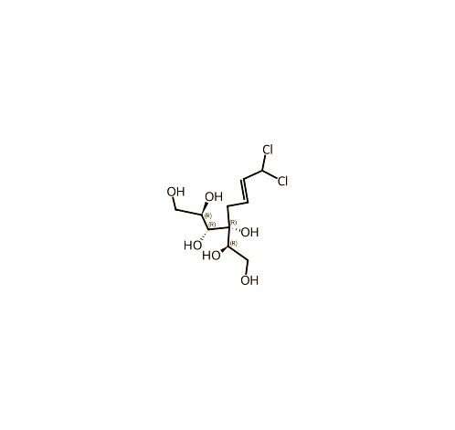 OC[C@@H](O)[C@@H](O)[C@@](O)(CC=CC(Cl)Cl)[C@H](O)CO